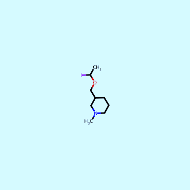 CC(I)OCC1CCCN(C)C1